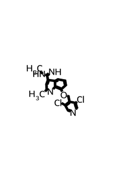 CNC(=N)c1cc(C)nc2c(OCc3c(Cl)cncc3Cl)cccc12